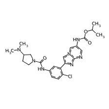 CC(C)OC(=O)Nc1cnc2nc(-c3cc(NC(=O)N4CCC(N(C)C)C4)ccc3Cl)cn2c1